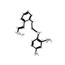 Nc1ccc(OCCc2ccccc2/C=C/C(=O)O)c(N)c1